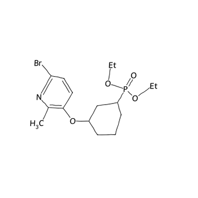 CCOP(=O)(OCC)C1CCCC(Oc2ccc(Br)nc2C)C1